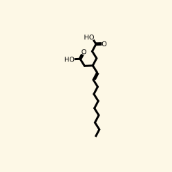 CCCCCCCC/C=C/C(CCC(=O)O)CC(=O)O